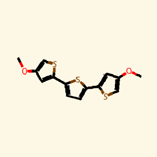 COc1[c]c(-c2ccc(-c3cc(OC)cs3)s2)sc1